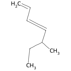 C=CC=CC(C)CC